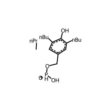 CCCC.CCCCc1cc(CO[PH](=O)O)cc(CCCC)c1O